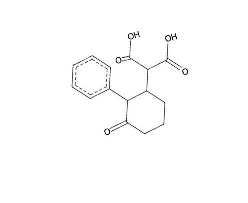 O=C(O)C(C(=O)O)C1CCCC(=O)C1c1ccccc1